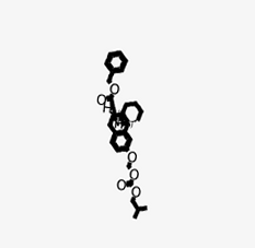 CC(C)COC(=O)OCOc1ccc2c(c1)[C@]13CCCC[C@@H]1[C@H](C2)N(C(=O)OCc1ccccc1)CC3